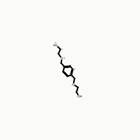 OCCOCc1ccc(COCCO)cc1